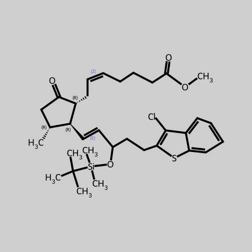 COC(=O)CCC/C=C\C[C@H]1C(=O)C[C@@H](C)[C@@H]1/C=C/C(CCc1sc2ccccc2c1Cl)O[Si](C)(C)C(C)(C)C